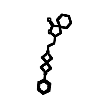 O=C1OC(CCN2CC3(C2)CN(c2ccccc2)C3)CC12CCCCC2